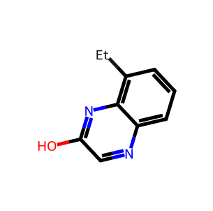 CCc1cccc2ncc(O)nc12